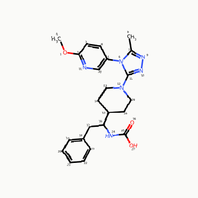 COc1ccc(-n2c(C)nnc2N2CCC(C(Cc3ccccc3)NC(=O)O)CC2)cn1